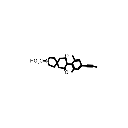 CC#Cc1cc(C)c(C2C(=O)CC3(CCN(C(=O)O)CC3)CC2=O)c(C)c1